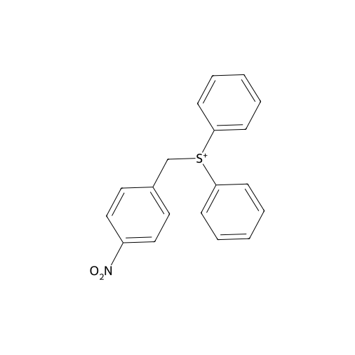 O=[N+]([O-])c1ccc(C[S+](c2ccccc2)c2ccccc2)cc1